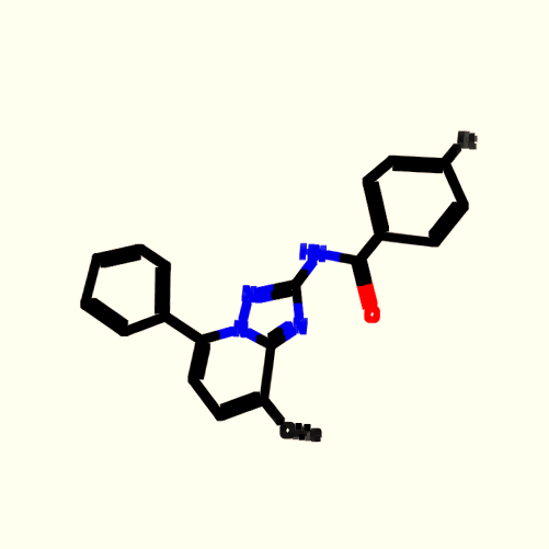 CCc1ccc(C(=O)Nc2nc3c(OC)ccc(-c4ccccc4)n3n2)cc1